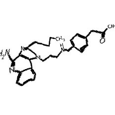 CCCCc1nc2c(N)nc3ccccc3c2n1CCCNCc1ccc(CC(=O)O)cc1